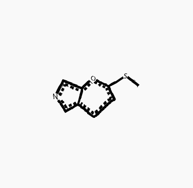 CSc1ccc2cncc-2o1